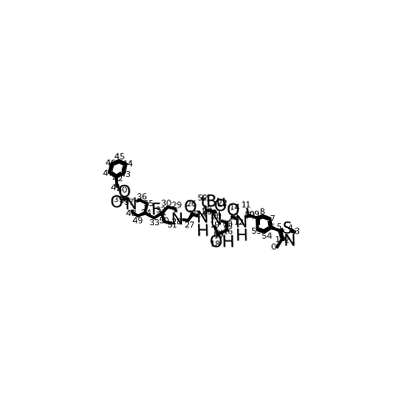 Cc1ncsc1-c1ccc([C@H](C)NC(=O)[C@@H]2C[C@@H](O)CN2C(=O)[C@@H](NC(=O)CN2CCC(F)(CC3CCN(C(=O)OCc4ccccc4)CC3)CC2)C(C)(C)C)cc1